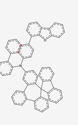 c1ccc(-c2ccccc2N(c2ccc(-c3cccc4c3oc3ccccc34)cc2)c2ccc3c(c2)-c2ccccc2-c2ccccc2C32c3ccccc3-c3ccccc32)cc1